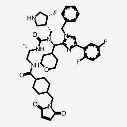 C[C@@H](CNC(=O)C1CCC(CN2C(=O)C=CC2=O)CC1)NC(=O)N(C[C@@H]1CNC[C@@H]1F)[C@@H](c1nc(-c2cc(F)ccc2F)cn1Cc1ccccc1)C1CCOCC1